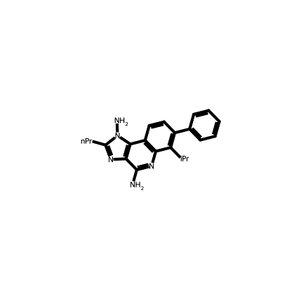 CCCc1nc2c(N)nc3c(C(C)C)c(-c4ccccc4)ccc3c2n1N